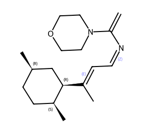 C=C(/N=C\C=C(/C)[C@@H]1C[C@H](C)CC[C@@H]1C)N1CCOCC1